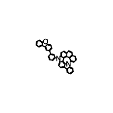 c1cc(-c2ccc3oc4ccccc4c3c2)cc(-n2c3ccc4ccc5cccc6c5c4c3c3c2ccc2c4ccccc4n6c23)c1